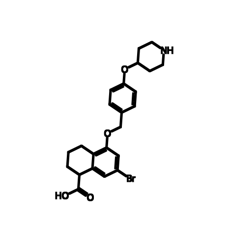 O=C(O)C1CCCc2c(OCc3ccc(OC4CCNCC4)cc3)cc(Br)cc21